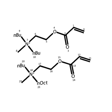 C=CC(=O)OCC[N+](C)(CCCC)CCCC.C=CC(=O)OCC[N+](C)(CCCC)CCCCCCCC